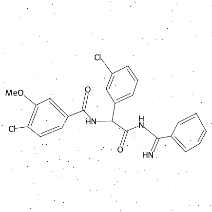 COc1cc(C(=O)NC(C(=O)NC(=N)c2ccccc2)c2cccc(Cl)c2)ccc1Cl